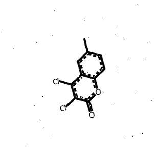 Cc1ccc2oc(=O)c(Cl)c(Cl)c2c1